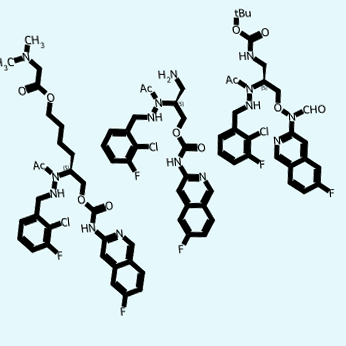 CC(=O)N(NCc1cccc(F)c1Cl)[C@@H](CCCCOC(=O)CN(C)C)COC(=O)Nc1cc2cc(F)ccc2cn1.CC(=O)N(NCc1cccc(F)c1Cl)[C@@H](CN)COC(=O)Nc1cc2cc(F)ccc2cn1.CC(=O)N(NCc1cccc(F)c1Cl)[C@@H](CNC(=O)OC(C)(C)C)CON(C=O)c1cc2cc(F)ccc2cn1